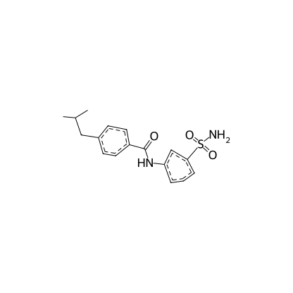 CC(C)Cc1ccc(C(=O)Nc2cccc(S(N)(=O)=O)c2)cc1